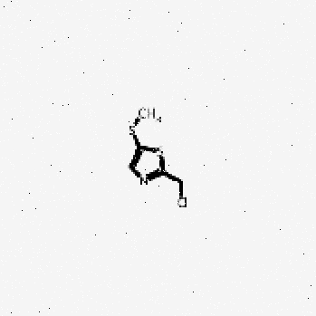 CSc1cnc(CCl)s1